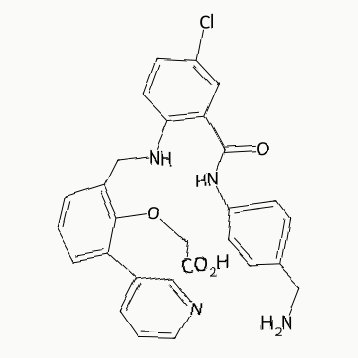 NCc1ccc(NC(=O)c2cc(Cl)ccc2NCc2cccc(-c3cccnc3)c2OCC(=O)O)cc1